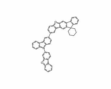 c1ccc2c(c1)-c1cc3oc4ccc(-c5ccc6c(c5)c5ccccc5n6-c5ccc6c(c5)oc5ccccc56)cc4c3cc1C21CCCCC1